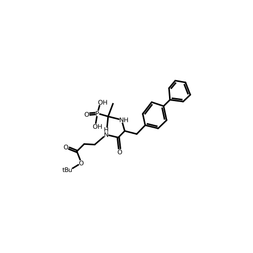 CC(C)(C)OC(=O)CCNC(=O)C(Cc1ccc(-c2ccccc2)cc1)NC(C)(C)P(=O)(O)O